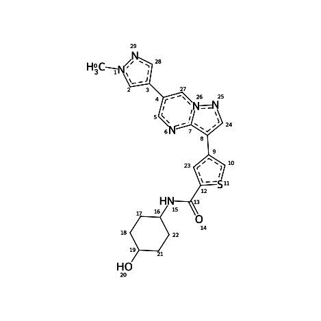 Cn1cc(-c2cnc3c(-c4csc(C(=O)NC5CCC(O)CC5)c4)cnn3c2)cn1